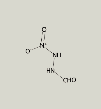 O=CNN[N+](=O)[O-]